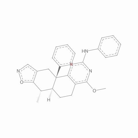 COc1nc(Nc2ccccc2)nc2c1CC[C@H]1[C@H](C)c3oncc3C[C@]21c1ccccc1